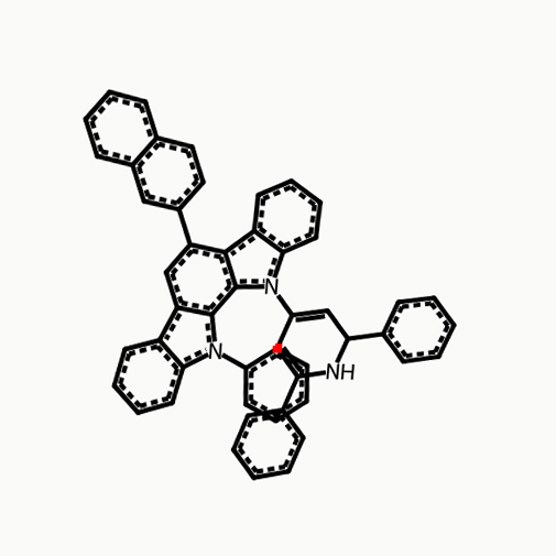 C1=C(c2ccccc2)NC(c2ccccc2)C=C1n1c2ccccc2c2c(-c3ccc4ccccc4c3)cc3c4ccccc4n(-c4ccccc4)c3c21